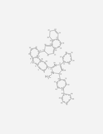 CN1C(c2ccc3oc4cccc(C5C=c6c7c(ccc6=CC5)C=CCC7)c4c3c2)=NC(c2ccccc2)=NC1c1ccc(-c2ccccc2)cc1